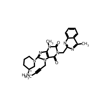 CC#CCn1c(N2CCC[C@H](N)C2)nc2c1c(=O)n(Cc1nc(C)c3ccccc3n1)c(=O)n2C